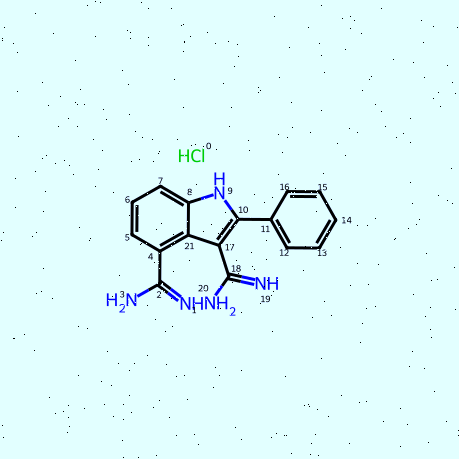 Cl.N=C(N)c1cccc2[nH]c(-c3ccccc3)c(C(=N)N)c12